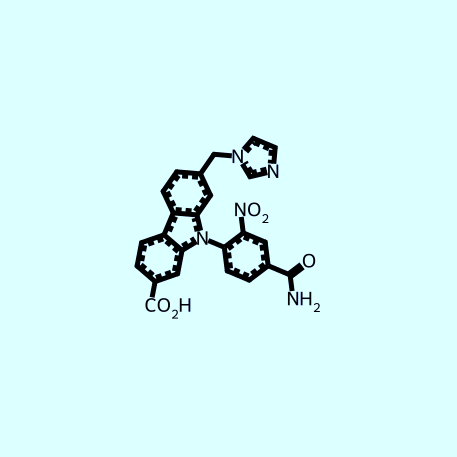 NC(=O)c1ccc(-n2c3cc(Cn4ccnc4)ccc3c3ccc(C(=O)O)cc32)c([N+](=O)[O-])c1